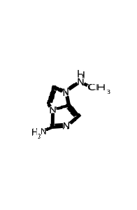 CNn1ccn2c(N)ncc12